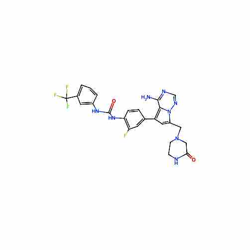 Nc1ncnn2c(CN3CCNC(=O)C3)cc(-c3ccc(NC(=O)Nc4cccc(C(F)(F)F)c4)c(F)c3)c12